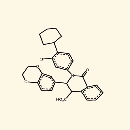 O=C(O)C1c2ccccc2C(=O)N(c2ccc(C3CCCCC3)c(Cl)c2)C1c1ccc2c(c1)OCCO2